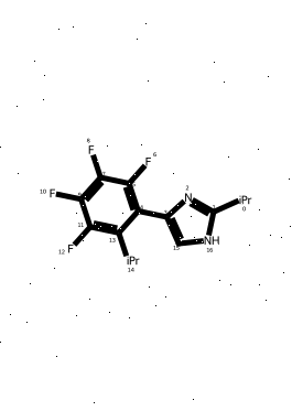 CC(C)c1nc(-c2c(F)c(F)c(F)c(F)c2C(C)C)c[nH]1